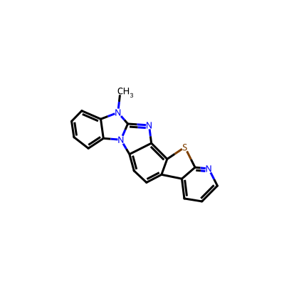 Cn1c2ccccc2n2c3ccc4c5cccnc5sc4c3nc12